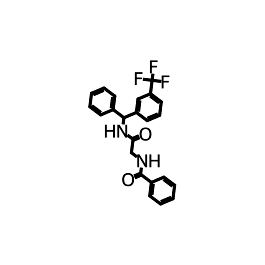 O=C(CNC(=O)c1ccccc1)NC(c1ccccc1)c1cccc(C(F)(F)F)c1